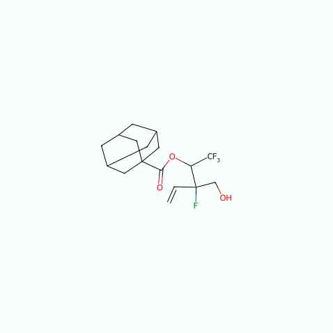 C=CC(F)(CO)C(OC(=O)C12CC3CC(CC(C3)C1)C2)C(F)(F)F